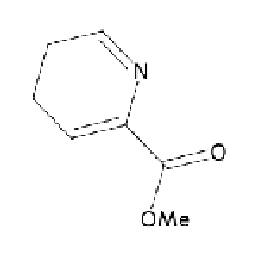 COC(=O)C1=CCCC=N1